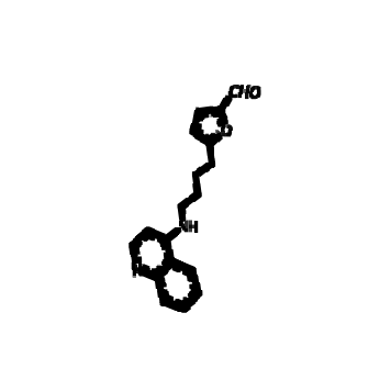 O=Cc1ccc(CCCCNc2ccnc3ccccc23)o1